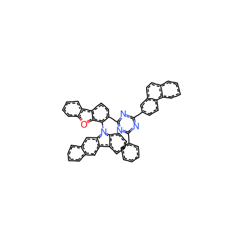 c1ccc(-c2nc(-c3ccc4c(ccc5ccccc54)c3)nc(-c3ccc4c(oc5ccccc54)c3-n3c4ccccc4c4cc5ccccc5cc43)n2)cc1